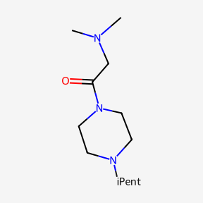 CCCC(C)N1CCN(C(=O)CN(C)C)CC1